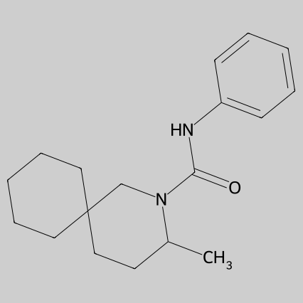 CC1CCC2(CCCCC2)CN1C(=O)Nc1ccccc1